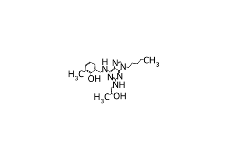 CCCCCn1cnc2c(NCc3cccc(C)c3O)nc(NCC(C)O)nc21